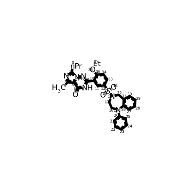 CCCc1nc(C)c2c(=O)[nH]c(-c3cc(S(=O)(=O)N4CCN(c5ccccc5)c5ccccc5C4)ccc3OCC)nn12